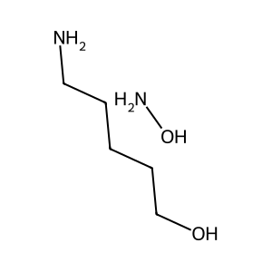 NCCCCCO.NO